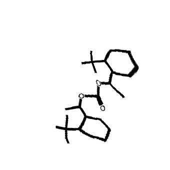 CC(OC(=O)OC(C)C1CCCCC1C(C)(C)C)C1CCCCC1C(C)(C)C